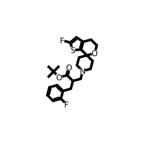 CC(C)(C)OC(=O)C(Cc1ccccc1F)CN1CCC2(CC1)OCCc1cc(F)sc12